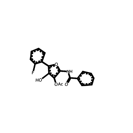 CC(=O)Oc1c(NC(=O)c2ccccc2)oc(-c2ccccc2F)c1O